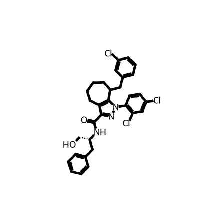 O=C(N[C@@H](CO)Cc1ccccc1)c1nn(-c2ccc(Cl)cc2Cl)c2c1CCCCC2Cc1cccc(Cl)c1